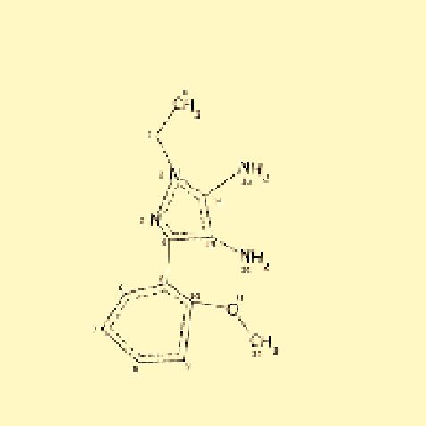 CCn1nc(-c2ccccc2OC)c(N)c1N